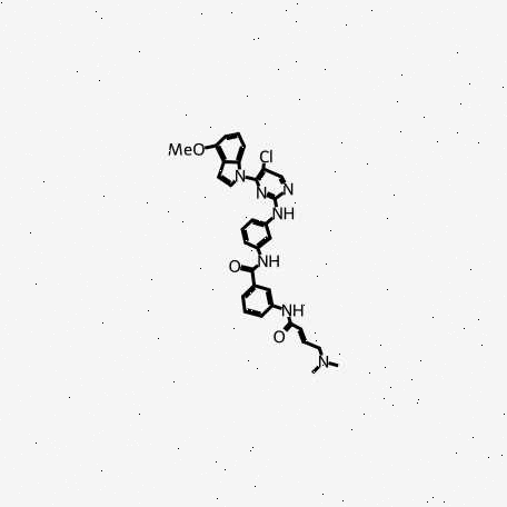 COc1cccc2c1ccn2-c1nc(Nc2cccc(NC(=O)c3cccc(NC(=O)C=CCN(C)C)c3)c2)ncc1Cl